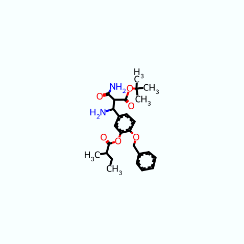 CCC(C)C(=O)Oc1cc(C(N)C(C(N)=O)C(=O)OC(C)(C)C)ccc1OCc1ccccc1